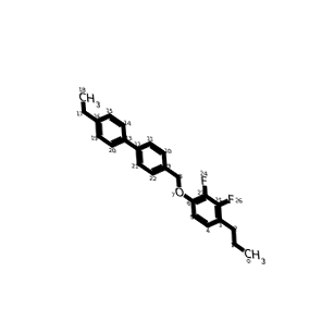 CCCc1ccc(OCc2ccc(-c3ccc(CC)cc3)cc2)c(F)c1F